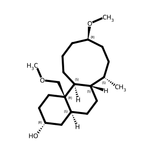 COC[C@]12CC[C@@H](O)C[C@@H]1CC[C@H]1[C@@H](C)CC[C@H](OC)CCC[C@@H]12